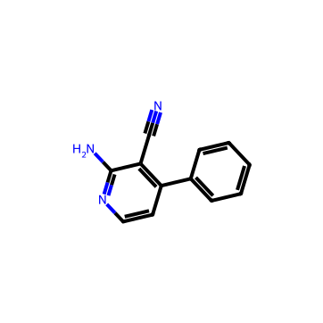 N#Cc1c(-c2ccccc2)ccnc1N